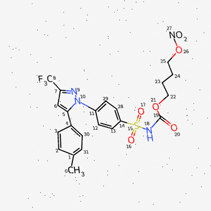 Cc1ccc(-c2cc(C(F)(F)F)nn2-c2ccc(S(=O)(=O)NC(=O)OCCCCO[N+](=O)[O-])cc2)cc1